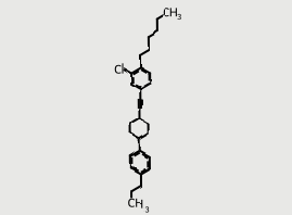 CCCCCCc1ccc(C#CC2CCC(c3ccc(CCC)cc3)CC2)cc1Cl